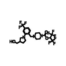 O=C(OC(C(F)(F)F)C(F)(F)F)N1CCN(Cc2ccc(C(F)(F)F)cc2N2CCC(CO)C2)CC1